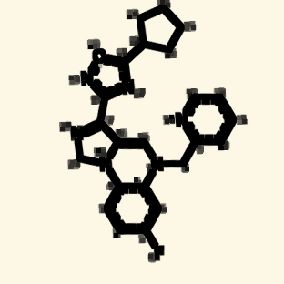 Fc1ccc2c(c1)N(Cc1ccccn1)C=C1C(c3noc(C4CCCC4)n3)=NCN12